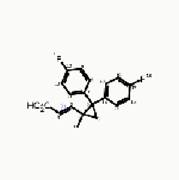 CC1(/C=C/C(=O)O)CC1(c1ccc(F)cc1)c1ccc(F)cc1